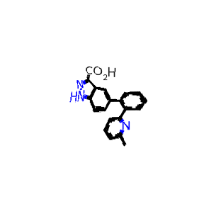 Cc1cccc(-c2ccccc2C2=CC3C(C(=O)O)=NNC3C=C2)n1